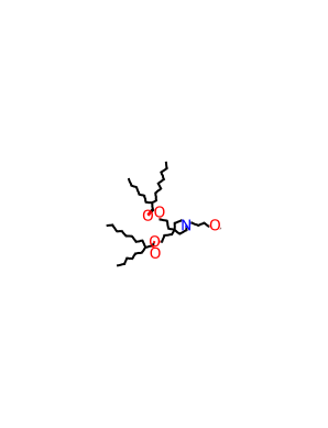 CCCCCCCCC(CCCCCC)C(=O)OCCCC1(CCCOC(=O)C(CCCCCC)CCCCCCCC)CCN(CCCCOC)CC1